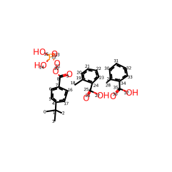 CC(C)(C)c1ccc(C(=O)OOP(=O)(O)O)cc1.Cc1ccccc1C(=O)O.Cc1ccccc1C(=O)O